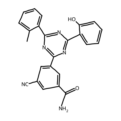 Cc1ccccc1-c1nc(-c2cc(C#N)cc(C(N)=O)c2)nc(-c2ccccc2O)n1